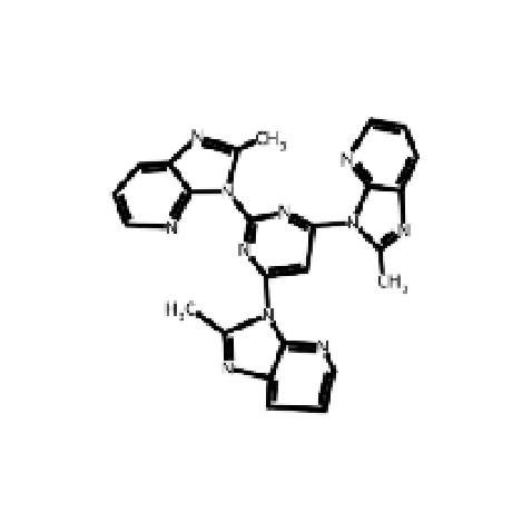 Cc1nc2cccnc2n1-c1cc(-n2c(C)nc3cccnc32)nc(-n2c(C)nc3cccnc32)n1